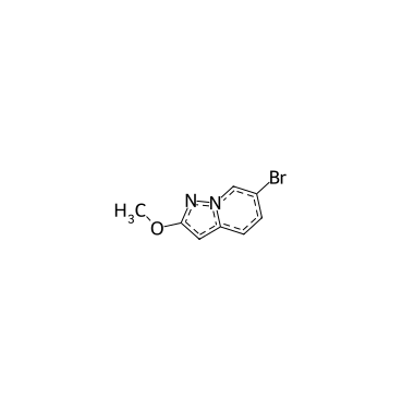 COc1cc2ccc(Br)cn2n1